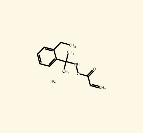 C=CC(=O)ONC(C)(C)c1ccccc1CC.Cl